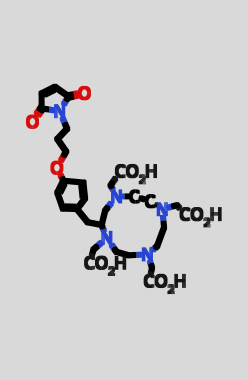 O=C(O)CN1CCN(CC(=O)O)CCN(CC(=O)O)C(Cc2ccc(OCCCN3C(=O)C=CC3=O)cc2)CN(CC(=O)O)CC1